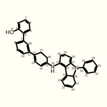 Oc1ccccc1-c1cccc(C2=CC=C(Nc3cccc4c3C3=CC=CCC3N4c3ccccc3)CC2)c1